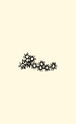 c1ccc(-c2nc3cccnc3c3nc(-c4ccc(-c5ccc6c7c(cccc57)-c5cc(-c7cccnc7)ccc5-6)cc4)n(-c4ccccc4)c23)cc1